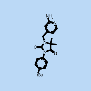 CC(C)(C)c1ccc(N2C(=O)N(Cc3ccnc(N)c3)C(C)(C)C2=O)cc1